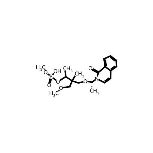 COCC(C)(CO[C@@H](C)n1ccc2ccccc2c1=O)C(C)OP(=O)(O)OC